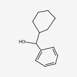 OC(c1cc[c]cc1)C1CCCCC1